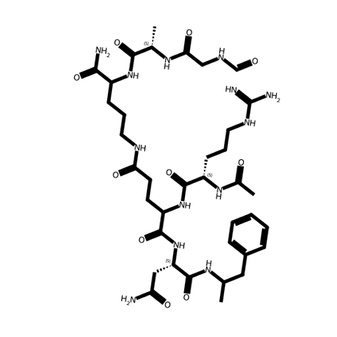 CC(=O)N[C@@H](CCCNC(=N)N)C(=O)NC(CCC(=O)NCCCC(NC(=O)[C@H](C)NC(=O)CNC=O)C(N)=O)C(=O)N[C@@H](CC(N)=O)C(=O)NC(C)Cc1ccccc1